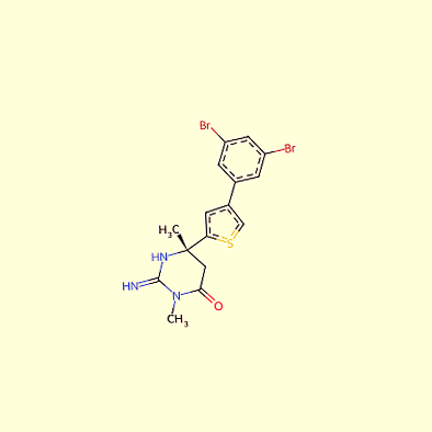 CN1C(=N)N[C@](C)(c2cc(-c3cc(Br)cc(Br)c3)cs2)CC1=O